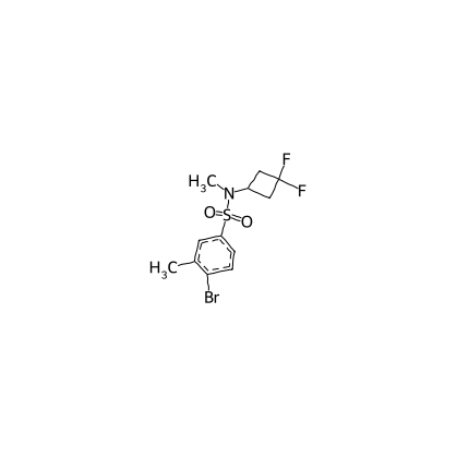 Cc1cc(S(=O)(=O)N(C)C2CC(F)(F)C2)ccc1Br